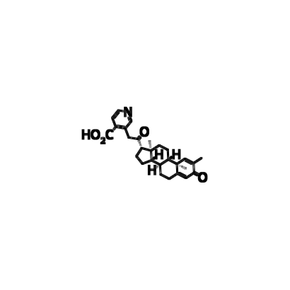 CC1=C[C@@]2(C)C(=CC1=O)CC[C@H]1[C@@H]3CC[C@H](C(=O)Cc4cnccc4C(=O)O)[C@@]3(C)CC[C@@H]12